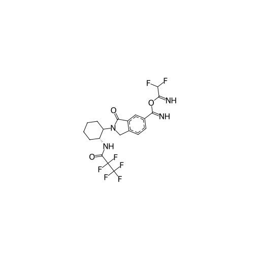 N=C(OC(=N)C(F)F)c1ccc2c(c1)C(=O)N(C1CCCC[C@H]1NC(=O)C(F)(F)C(F)(F)F)C2